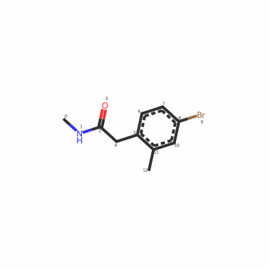 CNC(=O)Cc1ccc(Br)cc1C